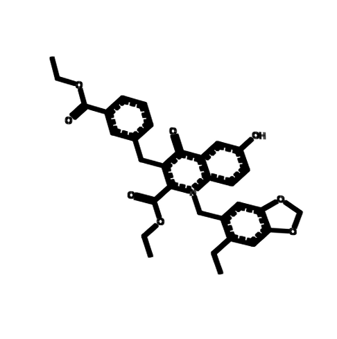 CCOC(=O)c1cccc(Cc2c(C(=O)OCC)n(Cc3cc4c(cc3CC)OCO4)c3ccc(O)cc3c2=O)c1